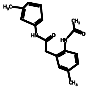 CC(=O)Nc1ccc(C)cc1CC(=O)Nc1cccc(C)c1